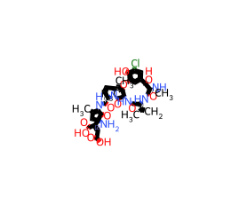 C=C(C)[C@@H]1NC(=O)[C@@H](NC)[C@@H](O)c2cc(Cl)c(O)c(c2)O[C@](C)(CC)C(C(=O)N2CC=C[C@H]2C(=O)NC2=C(C)CC(N)(/C(=C/C(=O)O)C(=O)O)C2=O)NC1=O